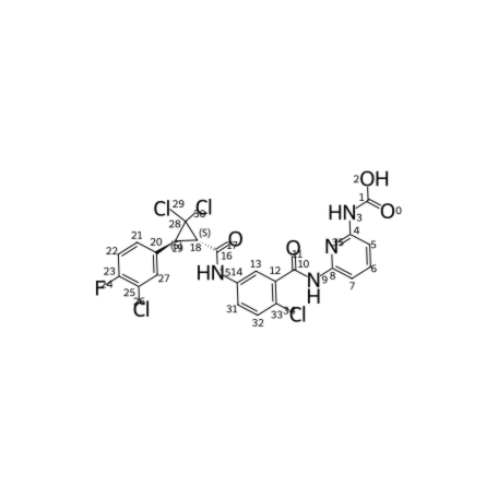 O=C(O)Nc1cccc(NC(=O)c2cc(NC(=O)[C@@H]3[C@@H](c4ccc(F)c(Cl)c4)C3(Cl)Cl)ccc2Cl)n1